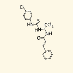 O=C(C=Cc1ccccc1)NC(NC(=S)Nc1ccc(Cl)cc1)C(Cl)(Cl)Cl